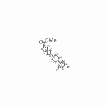 COC(=O)N1CCC2(CC(N3CCC(c4nc(C)cn4C)CC3)C2)C1